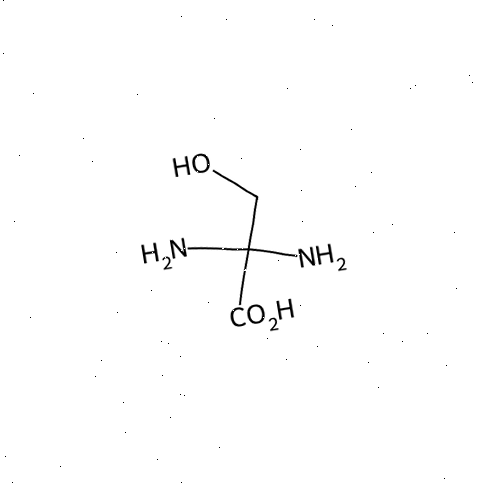 NC(N)(CO)C(=O)O